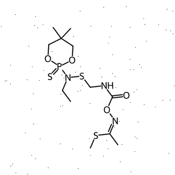 CCN(SCNC(=O)ON=C(C)SC)P1(=S)OCC(C)(C)CO1